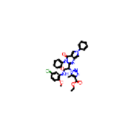 CCOC(=O)c1nnn(C(C(=O)Nc2cc(Cl)ccc2OC)c2nc3cn(-c4ccccc4)cc3c(=O)n2-c2ccccc2)c1C